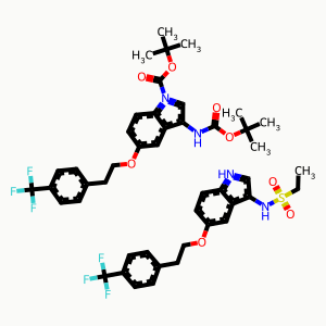 CC(C)(C)OC(=O)Nc1cn(C(=O)OC(C)(C)C)c2ccc(OCCc3ccc(C(F)(F)F)cc3)cc12.CCS(=O)(=O)Nc1c[nH]c2ccc(OCCc3ccc(C(F)(F)F)cc3)cc12